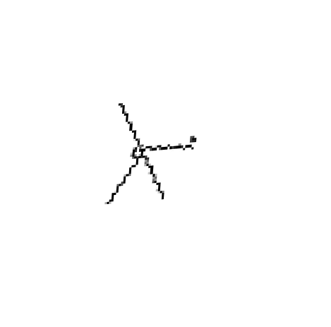 CCCCCCCCCCc1cc[n+](CCCCCCCCCC)c(CCCCCCCCCC)c1CCCCCCCCCC.[Br-]